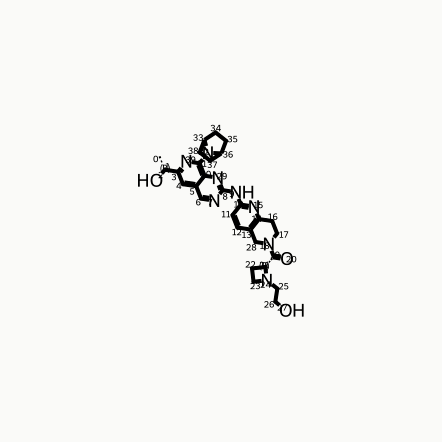 C[C@@H](O)c1cc2cnc(Nc3ccc4c(n3)CCN(C(=O)[C@H]3CCN3CCO)C4)nc2c(N2C3CCC2CC3)n1